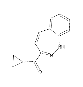 O=C(C1=NNc2ccccc2C=C1)C1CC1